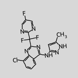 Cc1cc(Nc2nc(C(F)(F)c3ncc(F)cn3)nc3c(Cl)cccc23)n[nH]1